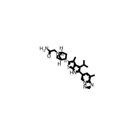 Cc1c([C@H]2C[C@H]3C[C@@H]2CN3CC(N)=O)sc2[nH]c(-c3cc(C)c4ncnn4c3)c(C(C)C)c12